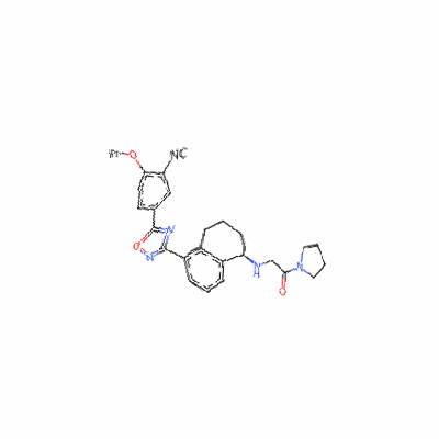 [C-]#[N+]c1cc(-c2nc(-c3cccc4c3CCC[C@H]4NCC(=O)N3CCCC3)no2)ccc1OC(C)C